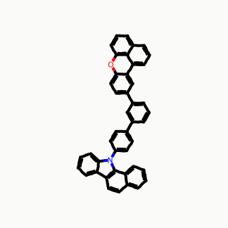 c1cc(-c2ccc(-n3c4ccccc4c4ccc5ccccc5c43)cc2)cc(-c2ccc3c(c2)-c2cccc4cccc(c24)O3)c1